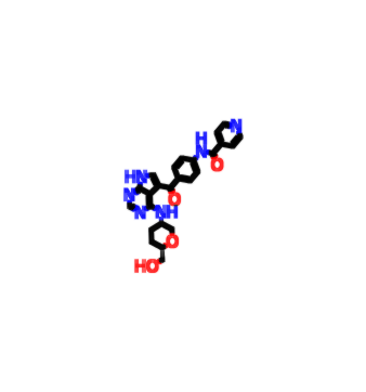 O=C(Nc1ccc(C(=O)c2c[nH]c3ncnc(N[C@@H]4CC[C@H](CO)OC4)c23)cc1)c1ccncc1